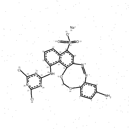 Nc1ccc2c(c1)N=Nc1cc(S(=O)(=O)[O-])c3cccc(Nc4nc(Cl)nc(Cl)n4)c3c1OCO2.[Na+]